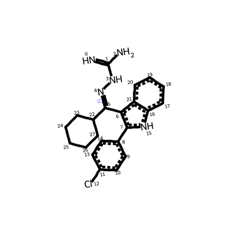 N=C(N)N/N=C(\c1c(-c2ccc(Cl)cc2)[nH]c2ccccc12)C1CCCCC1